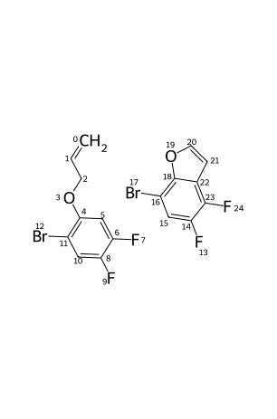 C=CCOc1cc(F)c(F)cc1Br.Fc1cc(Br)c2occc2c1F